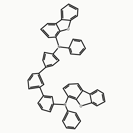 c1ccc(N(c2ccc(-c3cccc(-c4cccc(N(c5ccccc5)c5cccc6c5oc5ccccc56)c4)c3)cc2)c2cccc3c2oc2ccccc23)cc1